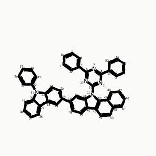 c1ccc(-c2nc(-c3ccccc3)nc(-n3c4cc(-c5ccc6c(c5)c5ccccc5n6-c5ccccc5)ccc4c4ccc5ccccc5c43)n2)cc1